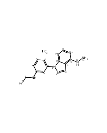 CC(C)CNc1cccc(-n2ncc3c(NN)ncnc32)c1.Cl